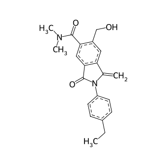 C=C1c2cc(CO)c(C(=O)N(C)C)cc2C(=O)N1c1ccc(CC)cc1